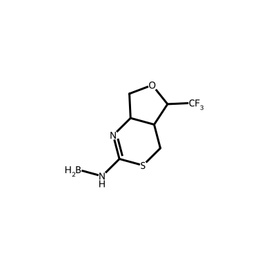 BNC1=NC2COC(C(F)(F)F)C2CS1